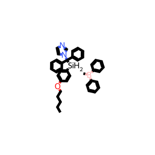 CB(c1ccccc1)c1ccccc1.CCCCCOc1ccc([SiH2]C(c2ccccc2)(c2ccccc2)n2ccnc2)cc1